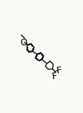 CCOc1ccc(-c2ccc(C3CCC(C(F)F)CC3)cc2)cc1